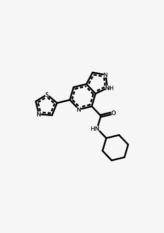 O=C(NC1CCCCC1)c1nc(-c2cncs2)cc2cn[nH]c12